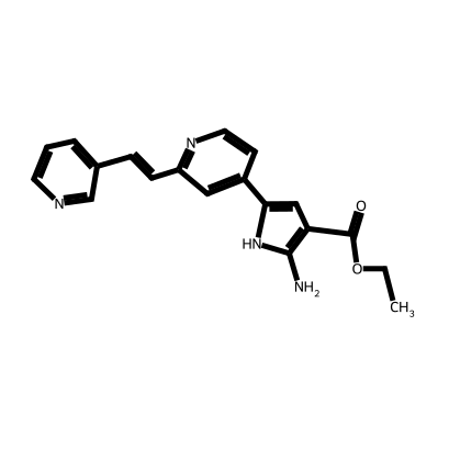 CCOC(=O)c1cc(-c2ccnc(C=Cc3cccnc3)c2)[nH]c1N